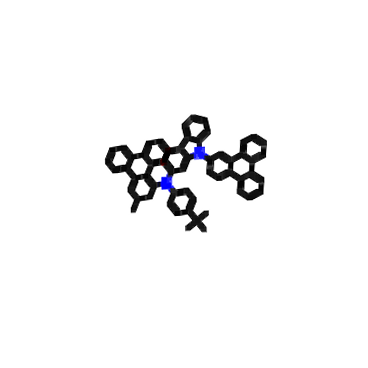 CC1C=c2c(c3ccccc3c3ccccc23)=C(N(c2ccc(C(C)(C)C)cc2)c2ccc3c4ccccc4n(-c4ccc5c6ccccc6c6ccccc6c5c4)c3c2)C1